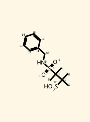 CC(C)(C(C)(C)S(=O)(=O)NCc1ccccc1)S(=O)(=O)O